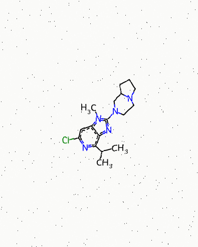 CC(C)c1nc(Cl)cc2c1nc(N1CCN3CCCC3C1)n2C